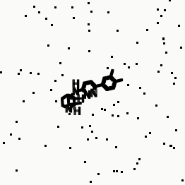 Cc1ccc(-c2ccc(N[C@H]3C4CCN(CC4)[C@@H]3C)nn2)cc1C